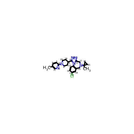 Cc1ccc(N2CCC(c3nnc4n3-c3ccc(Cl)cc3CN(C3(C)CC3)C4)CC2)nc1